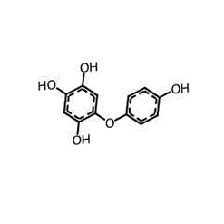 Oc1ccc(Oc2cc(O)c(O)cc2O)cc1